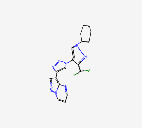 FC(F)c1nn(C2CCCCC2)cc1-n1cc(-c2cnn3cccnc23)nn1